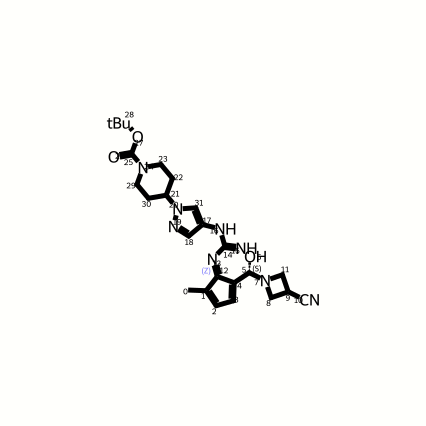 CC1=CC=C([C@H](O)N2CC(C#N)C2)/C1=N\C(=N)Nc1cnn(C2CCN(C(=O)OC(C)(C)C)CC2)c1